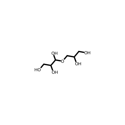 OCC(O)COC(O)C(O)CO